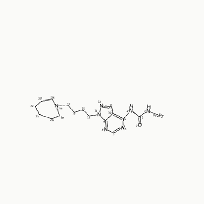 CCCNC(=O)Nc1ncnc2c1cnn2CCCCN1CCCCCC1